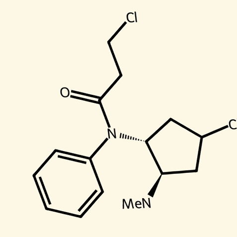 CN[C@@H]1CC(Cl)C[C@H]1N(C(=O)CCCl)c1ccccc1